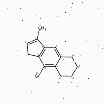 CC1=CCc2c1cc1c(c2Br)CCCC1